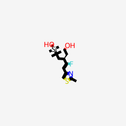 Cc1nc(/C=C(\F)[C@H](CCO)CC(C)(C)[Si](C)(C)O)cs1